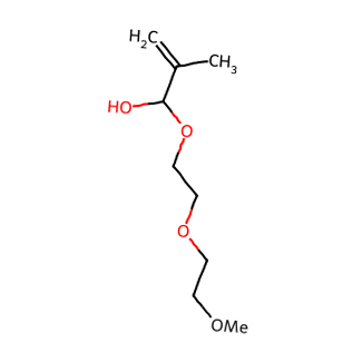 C=C(C)C(O)OCCOCCOC